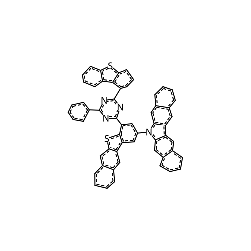 c1ccc(-c2nc(-c3cc(-n4c5cc6ccccc6cc5c5cc6ccccc6cc54)cc4c3sc3cc5ccccc5cc34)nc(-c3cccc4sc5ccccc5c34)n2)cc1